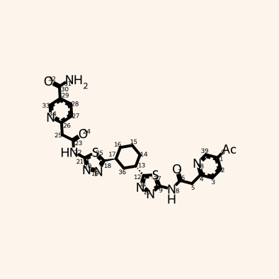 CC(=O)c1ccc(CC(=O)Nc2nnc([C@H]3CCC[C@H](c4nnc(NC(=O)Cc5ccc(C(N)=O)cn5)s4)C3)s2)nc1